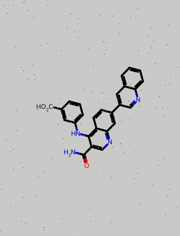 NC(=O)c1cnc2cc(-c3cnc4ccccc4c3)ccc2c1Nc1cccc(C(=O)O)c1